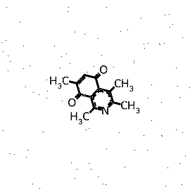 CC1=CC(=O)c2c(C)c(C)nc(C)c2C1=O